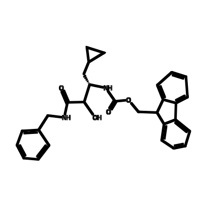 O=C(N[C@@H](CC1CC1)C(O)C(=O)NCc1ccccc1)OCC1c2ccccc2-c2ccccc21